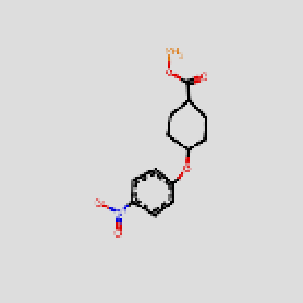 O=C(OP)C1CCC(Oc2ccc([N+](=O)[O-])cc2)CC1